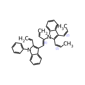 C=C/C(=C\c1c(C=C)n(-c2ccccc2)c2ccccc12)n1c(/C=C\C)c(/C=C\C)c2ccccc21